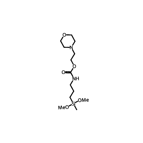 CO[Si](C)(CCCNC(=O)OCCN1CCOCC1)OC